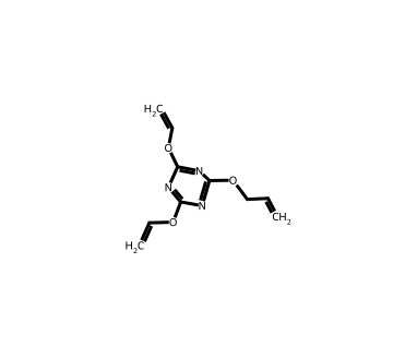 C=CCOc1nc(OC=C)nc(OC=C)n1